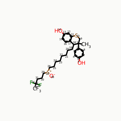 CC1(c2ccc(O)cc2)CSc2cc(O)ccc2C1CCCCCCCC[S+]([O-])CCCC(F)(F)C(F)(F)F